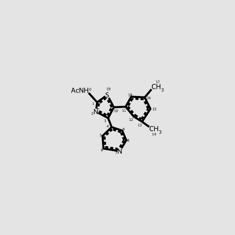 CC(=O)Nc1nc(-c2ccncc2)c(-c2cc(C)cc(C)c2)s1